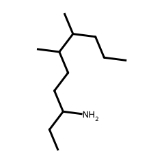 CCCC(C)C(C)CCC(N)CC